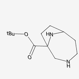 CC(C)(C)OC(=O)C12CCC(CCNC1)N2